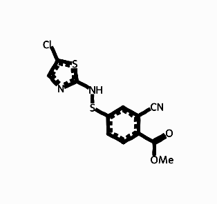 COC(=O)c1ccc(SNc2ncc(Cl)s2)cc1C#N